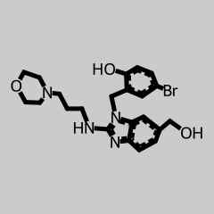 OCc1ccc2nc(NCCCN3CCOCC3)n(Cc3cc(Br)ccc3O)c2c1